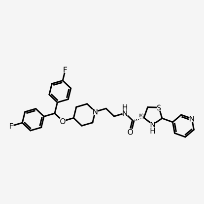 O=C(NCCN1CCC(OC(c2ccc(F)cc2)c2ccc(F)cc2)CC1)[C@@H]1CSC(c2cccnc2)N1